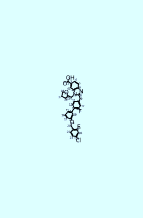 O=C(O)c1ccc2nc(Cc3ccc(-c4cccc(OCc5ccc(Cl)cc5F)c4)c(F)c3)n(CC3CCCO3)c2c1